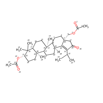 CC(=O)OC[C@@]12CCC3[C@H](CCC4[C@@]3(C)CCC3C(C)(C)[C@@H](OC(C)=O)CC[C@@]34C)C1=C(C(C)C)C(=O)C2